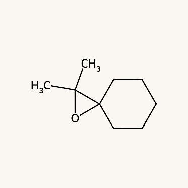 CC1(C)OC12CCCCC2